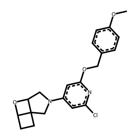 COc1ccc(COc2cc(N3CC4OC5CCC54C3)cc(Cl)n2)cc1